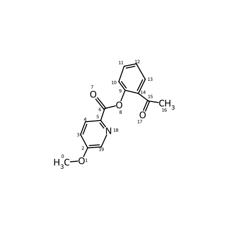 COc1ccc(C(=O)Oc2ccccc2C(C)=O)nc1